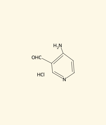 Cl.Nc1ccncc1C=O